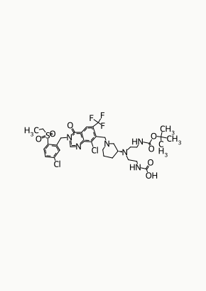 CCS(=O)(=O)c1ccc(Cl)cc1Cn1cnc2c(Cl)c(CN3CCC[C@H](N(CCNC(=O)O)CCNC(=O)OC(C)(C)C)C3)c(C(F)(F)F)cc2c1=O